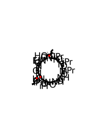 C=CCOC(C)(C)C[C@H]1C(=O)N[C@@H](C(C)C)C(=O)N(C)[C@@H](CC(C)C)C(=O)N[C@@H](C)C(=O)N[C@H](C)C(=O)N(C)[C@@H](CC(C)C)C(=O)N(C)[C@@H](CC(C)C)C(=O)N(C)[C@@H](C(C)C)C(=O)N(C)[C@@H]([C@H](O)[C@H](C)C/C=C/C)C(=O)N[C@@H](CC)C(=O)N(C)CC(=O)N1C